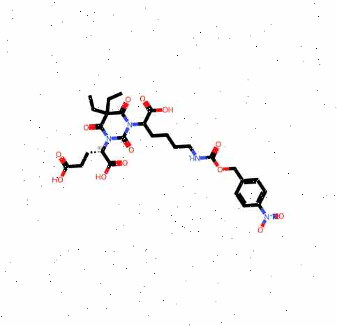 CCC1(CC)C(=O)N(C(CCCCNC(=O)OCc2ccc([N+](=O)[O-])cc2)C(=O)O)C(=O)N([C@@H](CCC(=O)O)C(=O)O)C1=O